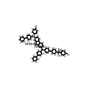 CCCCCCC1(CCCCCC)c2cc(C(c3ccc(-c4ccccc4)cc3)c3ccc(-c4ccc(C(C)(CC)c5ccc(C)cc5)cc4)cc3)ccc2-c2ccc(N(c3ccc(C)cc3)c3ccc(-c4ccccc4)cc3)cc21